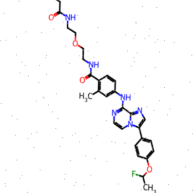 CNCC(=O)NCCOCCNC(=O)c1ccc(Nc2nccn3c(-c4ccc(OC(C)F)cc4)cnc23)cc1C